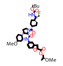 COC1CCC([C@@H]2CCN(C(=O)[C@H]3CC[C@H]([C@@H](CF)NC(=O)OC(C)(C)C)CC3)[C@@H]2C(=O)Nc2ccc3oc(C(=O)OC[C@H](C)OC)cc3c2)CC1